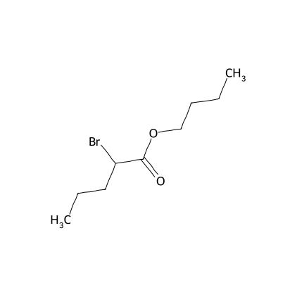 CCCCOC(=O)C(Br)CCC